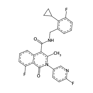 Cc1c(C(=O)NCc2cccc(F)c2C2CC2)c2cccc(F)c2c(=O)n1-c1ccc(F)nc1